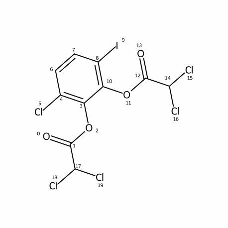 O=C(Oc1c(Cl)ccc(I)c1OC(=O)C(Cl)Cl)C(Cl)Cl